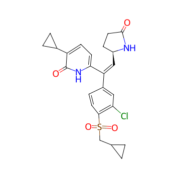 O=C1CC[C@H](C=C(c2ccc(S(=O)(=O)CC3CC3)c(Cl)c2)c2ccc(C3CC3)c(=O)[nH]2)N1